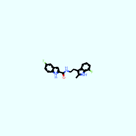 Cc1[nH]c2c(F)cccc2c1CCNC(=O)c1cc2cc(F)ccc2[nH]1